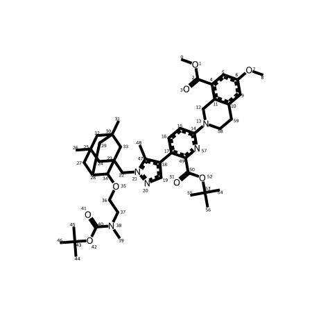 COC(=O)c1cc(OC)cc2c1CN(c1ccc(-c3cnn(CC45CC6(C)CC(CC(C)(C6)C4)C5OCCN(C)C(=O)OC(C)(C)C)c3C)c(C(=O)OC(C)(C)C)n1)CC2